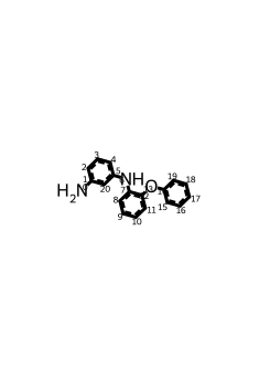 Nc1cccc(Nc2ccccc2Oc2ccccc2)c1